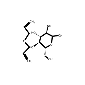 C=CCOCC=C.N[C@H]1C(O)O[C@H](CO)[C@@H](O)[C@@H]1O